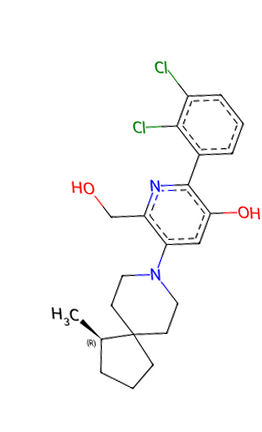 C[C@@H]1CCCC12CCN(c1cc(O)c(-c3cccc(Cl)c3Cl)nc1CO)CC2